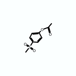 CC(=O)Oc1ccc(S(C)(=O)=O)cc1